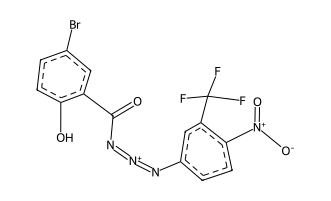 O=C(N=[N+]=Nc1ccc([N+](=O)[O-])c(C(F)(F)F)c1)c1cc(Br)ccc1O